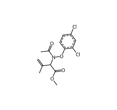 C=C(C)C(C(=O)OC)N(Oc1ccc(Cl)cc1Cl)C(C)=O